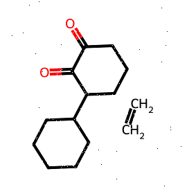 C=C.O=C1CCCC(C2CCCCC2)C1=O